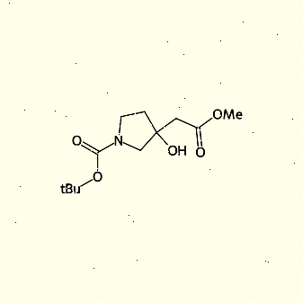 COC(=O)CC1(O)CCN(C(=O)OC(C)(C)C)C1